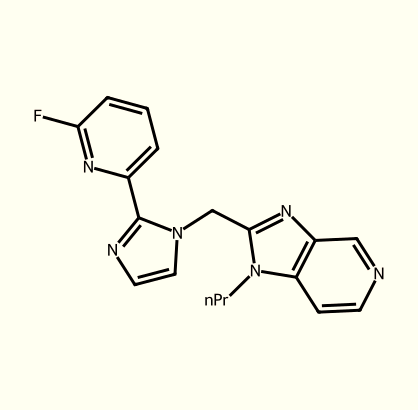 CCCn1c(Cn2ccnc2-c2cccc(F)n2)nc2cnccc21